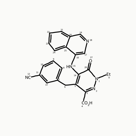 CCn1nc(C(=O)O)c(Cc2cccc(C#N)c2)c(Nc2cncc3ccccc23)c1=O